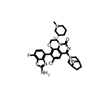 CN1CCCC([C@H]2COc3c(-c4ccc(F)c5sc(N)nc45)c(Cl)cc4c(N5CC6CCC(C5)N6)nc(=O)n2c34)C1